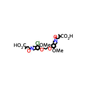 COc1cc2c(cc1OCCCOc1cc3c(c(Cl)c1OC)CN(C(=O)C[C@H](C)C(=O)O)C3)CN(C(=O)C[C@H](C)C(=O)O)C2